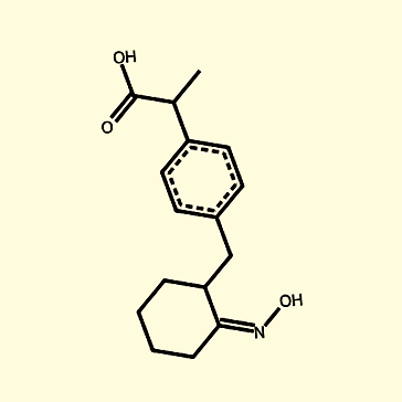 CC(C(=O)O)c1ccc(CC2CCCC/C2=N/O)cc1